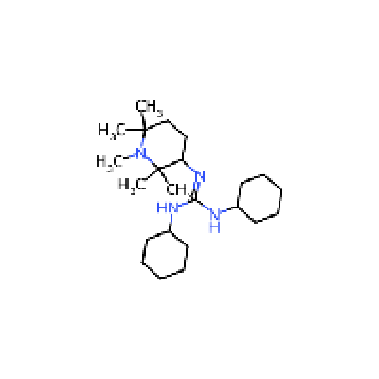 CN1C(C)(C)CCC(N=C(NC2CCCCC2)NC2CCCCC2)C1(C)C